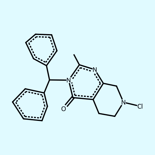 Cc1nc2c(c(=O)n1C(c1ccccc1)c1ccccc1)CCN(Cl)C2